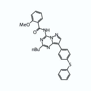 CCCCc1nc(NC(=O)c2ccccc2OC)n2ncc(-c3ccc(Sc4ccccc4)cc3)c2n1